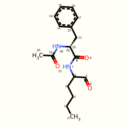 CCCCC(C=O)NC(=O)[C@H](Cc1ccccc1)NC(C)=O